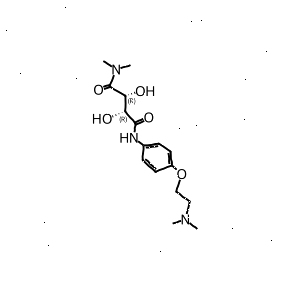 CN(C)CCOc1ccc(NC(=O)[C@H](O)[C@@H](O)C(=O)N(C)C)cc1